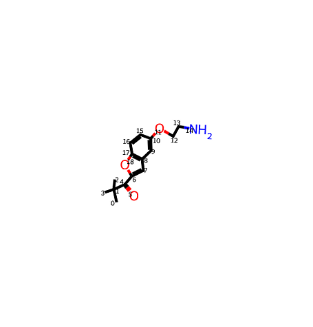 CC(C)(C)C(=O)c1cc2cc(OCCN)ccc2o1